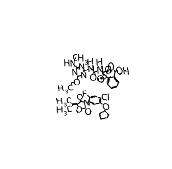 CC(C)=C1OC(=O)N(c2cc(OC3CCCC3)c(Cl)cc2F)C1=O.CCOc1nc(NC)nc(NC(=O)NS(=O)(=O)c2ccccc2C(=O)O)n1